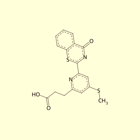 CSc1cc(CCC(=O)O)nc(-c2nc(=O)c3ccccc3s2)c1